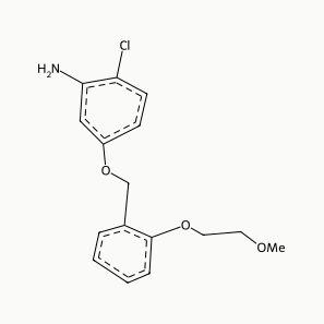 COCCOc1ccccc1COc1ccc(Cl)c(N)c1